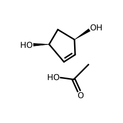 CC(=O)O.O[C@@H]1C=C[C@H](O)C1